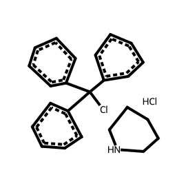 C1CCNCC1.Cl.ClC(c1ccccc1)(c1ccccc1)c1ccccc1